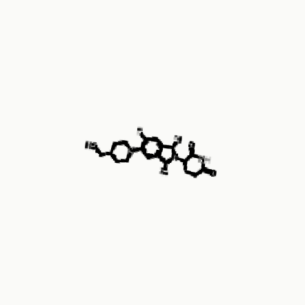 [2H]C1c2cc(F)c(N3CCC(CO)CC3)cc2C([2H])N1C1CCC(=O)NC1=O